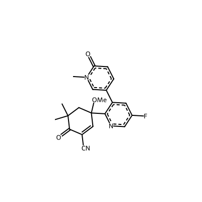 COC1(c2ncc(F)cc2-c2ccc(=O)n(C)c2)C=C(C#N)C(=O)C(C)(C)C1